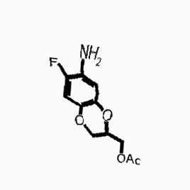 CC(=O)OCC1COc2cc(F)c(N)cc2O1